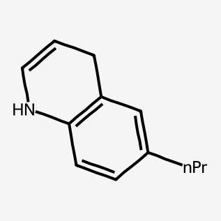 CCCc1ccc2c(c1)CC=CN2